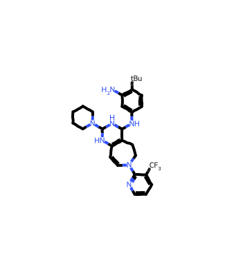 CC(C)(C)c1ccc(NC2NC(N3CCCCC3)NC3=C2CCN(c2ncccc2C(F)(F)F)C=C3)cc1N